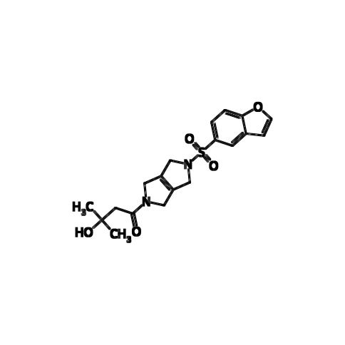 CC(C)(O)CC(=O)N1CC2=C(C1)CN(S(=O)(=O)c1ccc3occc3c1)C2